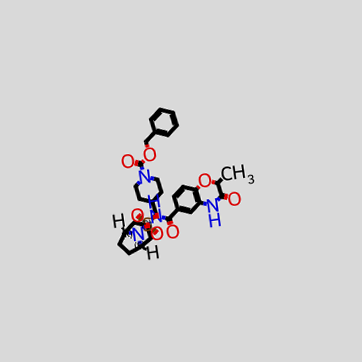 CC1Oc2ccc(C(=O)N[C@H]3C[C@H]4CC[C@@H](C3)N4S(=O)(=O)CC3CCN(C(=O)OCc4ccccc4)CC3)cc2NC1=O